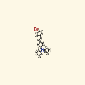 Brc1ccc(/C=C/c2ccc(N(c3ccccc3)c3ccccc3)cc2)cc1